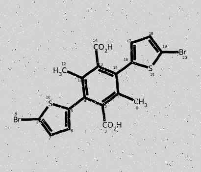 Cc1c(C(=O)O)c(-c2ccc(Br)s2)c(C)c(C(=O)O)c1-c1ccc(Br)s1